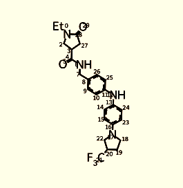 CCN1CC(C(=O)NCc2ccc(Nc3ccc(N4CCC(C(F)(F)F)C4)cc3)cc2)CC1=O